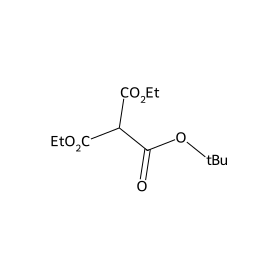 CCOC(=O)C(C(=O)OCC)C(=O)OC(C)(C)C